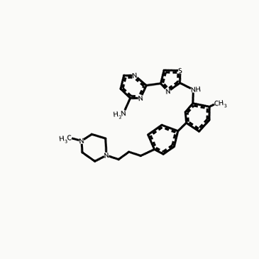 Cc1ccc(-c2ccc(CCCN3CCN(C)CC3)cc2)cc1Nc1nc(-c2nccc(N)n2)cs1